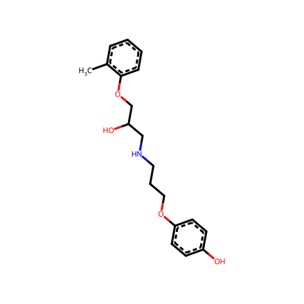 Cc1ccccc1OCC(O)CNCCCOc1ccc(O)cc1